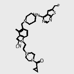 Cc1c(CN2CCC(Nc3ncnc4sc(CF)cc34)CC2)ccc2c1cc(C#N)n2CCN1CCN(C(=O)C2CC2)CC1